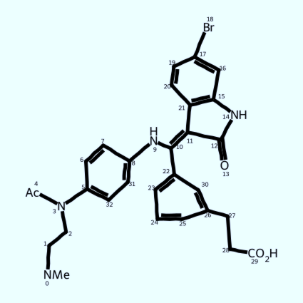 CNCCN(C(C)=O)c1ccc(NC(=C2C(=O)Nc3cc(Br)ccc32)c2cccc(CCC(=O)O)c2)cc1